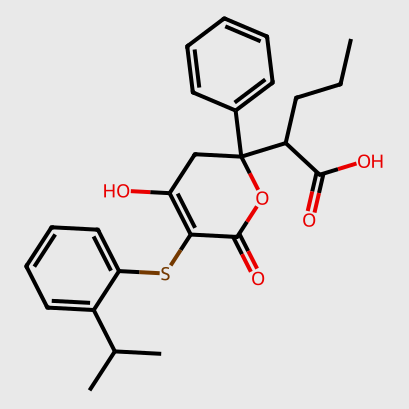 CCCC(C(=O)O)C1(c2ccccc2)CC(O)=C(Sc2ccccc2C(C)C)C(=O)O1